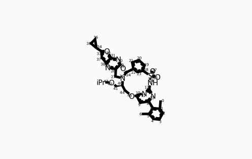 Cc1cccc(C)c1-c1cc2nc(n1)NS(=O)(=O)c1cccc(c1)C(=O)N(Cc1cnc3oc(C4CC4)cc3n1)[C@H](COC(C)C)CO2